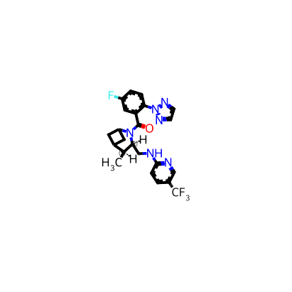 C[C@H]1C2CC(C2)N(C(=O)c2cc(F)ccc2-n2nccn2)[C@H]1CNc1ccc(C(F)(F)F)cn1